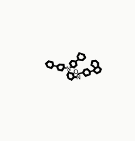 c1ccc(-c2ccc(N(c3ccc(-c4ccccc4)cc3)c3cccc4nc(-c5ccc(-c6cccc7ccccc67)cc5)oc34)cc2)cc1